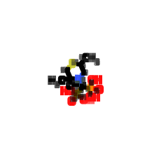 CC1CN(C(P(=O)(O)O)P(=O)(O)O)C(C)(C)CS1